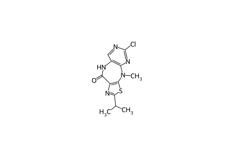 CC(C)c1nc2c(s1)N(C)c1nc(Cl)ncc1NC2=O